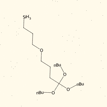 CCCCOC(CCCOCCC[SiH3])(OCCCC)OCCCC